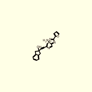 N[N+]12C=C(C#CC3(O)Cc4ccccc4C3)N=CC1=NC(c1ccco1)=N2